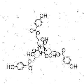 O=C(OCC(O)Cn1c(=O)n(CC(O)COC(=O)c2ccc(O)cc2)c(=O)n(CC(O)COC(=O)c2ccc(O)cc2)c1=O)c1ccc(O)cc1